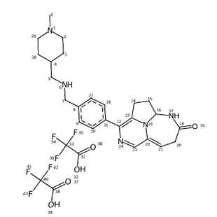 CN1CCC(CNCc2ccc(C3=C4CCC5NC(=O)CC=C(C=N3)N45)cc2)CC1.O=C(O)C(F)(F)F.O=C(O)C(F)(F)F